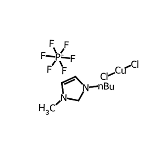 CCCCN1C=CN(C)C1.F[P-](F)(F)(F)(F)F.[Cl][Cu][Cl]